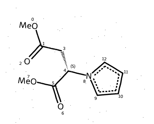 COC(=O)C[C@@H](C(=O)OC)n1cccc1